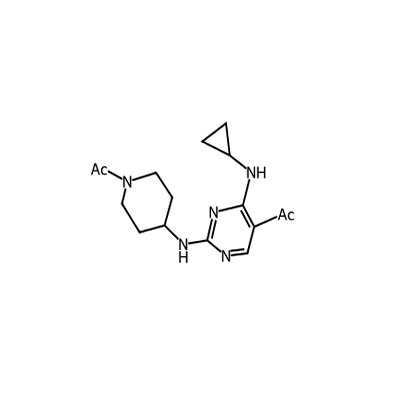 CC(=O)c1cnc(NC2CCN(C(C)=O)CC2)nc1NC1CC1